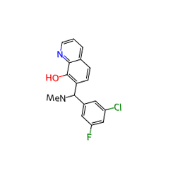 CNC(c1cc(F)cc(Cl)c1)c1ccc2cccnc2c1O